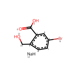 O=C(O)c1cc(Br)ccc1CO.[NaH]